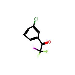 O=C(c1cccc(Cl)c1)C(F)(F)I